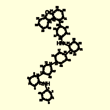 c1ccc(Nc2ccccc2-c2ccc(-c3ccc(-c4ccccc4Nc4ccc(-c5cccc6oc7ccccc7c56)cc4)cc3)cc2)cc1